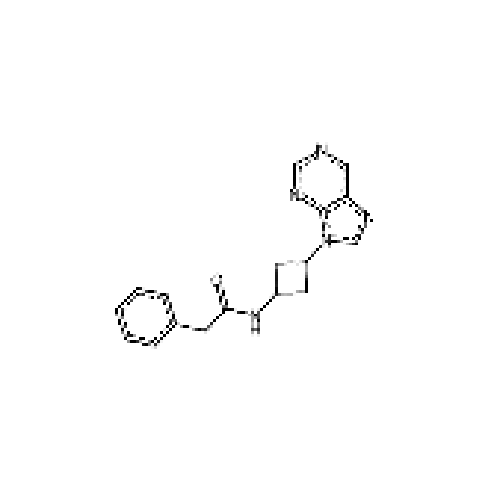 O=C(Cc1ccccc1)NC1CC(n2cnc3cncnc32)C1